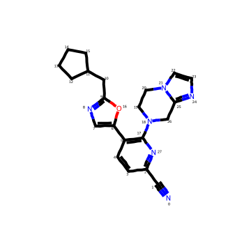 N#Cc1ccc(-c2cnc(CC3CCCC3)o2)c(N2CCn3ccnc3C2)n1